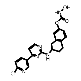 O=C(NO)Oc1ccc2c(c1)CC(Nc1nccc(-c3ccc(Cl)nc3)n1)CC2